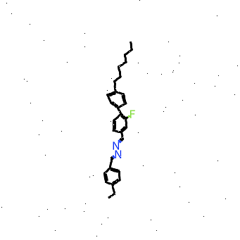 CCCCCCCc1ccc(-c2ccc(C=NN=Cc3ccc(CC)cc3)cc2F)cc1